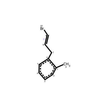 Cc1ccccc1C/C=C/Br